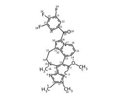 COc1cc2c(nc(C)n2C)c2c1-c1cccn3c(C(=O)c4cc(F)c(F)c(F)c4)cc(c13)CCN2C